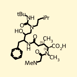 CNCC(=O)N(C)[C@H](C(=O)O)[C@@H](C)CC(=O)NC(Cc1ccccc1)C(O)CN(CCC(C)C)C(=O)NC(C)(C)C